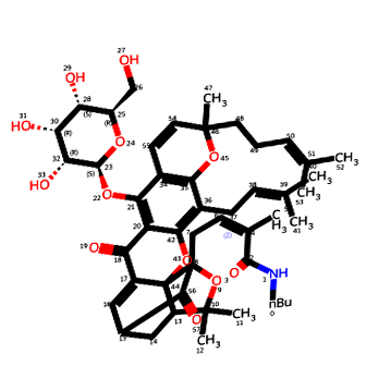 CCCCNC(=O)/C(C)=C\CC12OC(C)(C)C3CC(C=C4C(=O)c5c(O[C@@H]6O[C@H](CO)[C@@H](O)[C@@H](O)[C@H]6O)c6c(c(CC=C(C)C)c5OC431)OC(C)(CCC=C(C)C)C=C6)C2=O